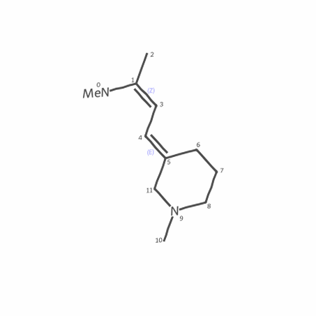 CN/C(C)=C\C=C1/CCCN(C)C1